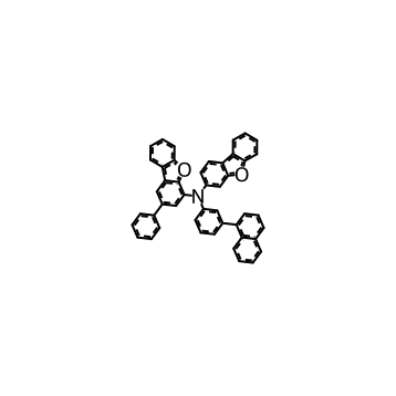 c1ccc(-c2cc(N(c3cccc(-c4cccc5ccccc45)c3)c3ccc4c(c3)oc3ccccc34)c3oc4ccccc4c3c2)cc1